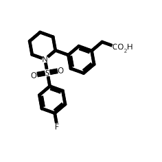 O=C(O)Cc1cccc(C2CCCCN2S(=O)(=O)c2ccc(F)cc2)c1